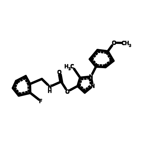 COc1ccc(-n2ncc(OC(=O)NCc3ccccc3F)c2C)cc1